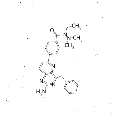 CCN(C(=O)c1ccc(-c2ccc3nc(N)nc(Cc4ccccc4)c3n2)cc1)N(C)C